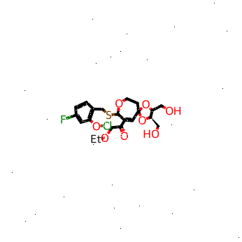 CCOCC(=O)C1=CC2(CCOC1SCc1ccc(F)cc1OCl)OC(CO)[C@@H](CO)O2